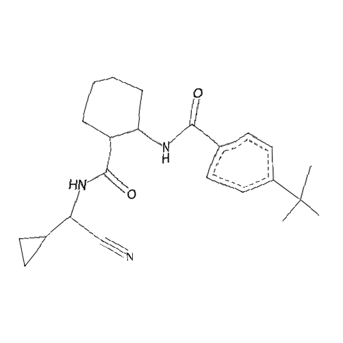 CC(C)(C)c1ccc(C(=O)NC2CCCCC2C(=O)NC(C#N)C2CC2)cc1